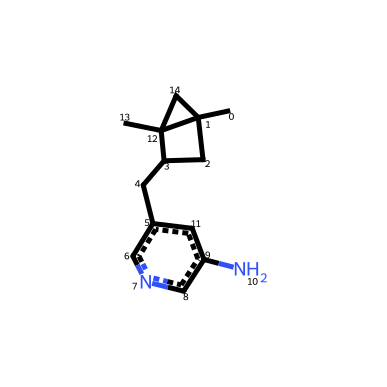 CC12CC(Cc3cncc(N)c3)C1(C)C2